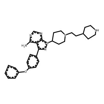 Nc1ncnc2c1c(-c1ccc(Oc3ccccc3)cc1)nn2C1CCN(CCC2CCNCC2)CC1